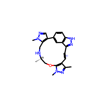 Cc1nn(C)c2c1/C=C/c1n[nH]c3ccc(cc13)-c1cnn(C)c1CN[C@@H](C)CO2